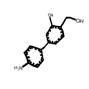 Nc1ccc(-c2ccc(CO)c(O)c2)cc1